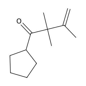 C=C(C)C(C)(C)C(=O)C1CCCC1